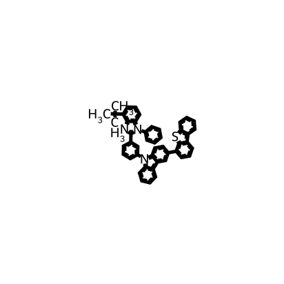 CC(C)(C)c1cccc2c1nc(-c1cccc(-n3c4ccccc4c4cc(-c5cccc6c5sc5ccccc56)ccc43)c1)n2-c1ccccc1